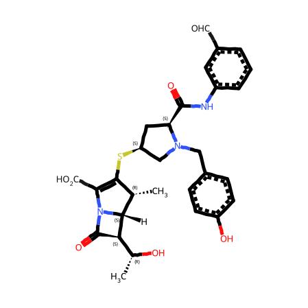 C[C@@H](O)[C@H]1C(=O)N2C(C(=O)O)=C(S[C@H]3C[C@@H](C(=O)Nc4cccc(C=O)c4)N(Cc4ccc(O)cc4)C3)[C@H](C)[C@H]12